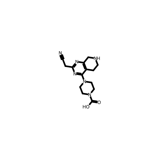 N#CCc1nc2c(c(N3CCN(C(=O)O)CC3)n1)CCNC2